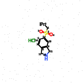 CC(C)CS(=O)(=O)c1ccc2c(c1)CNC2.Cl